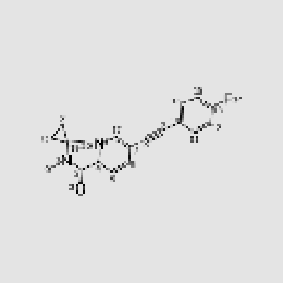 CN(C(=O)c1ccc(C#Cc2ccc(F)cc2)cn1)C1(C)CC1